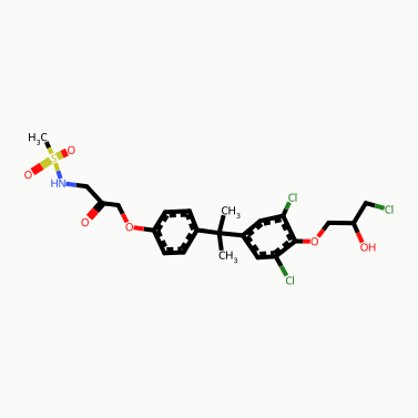 CC(C)(c1ccc(OCC(=O)CNS(C)(=O)=O)cc1)c1cc(Cl)c(OCC(O)CCl)c(Cl)c1